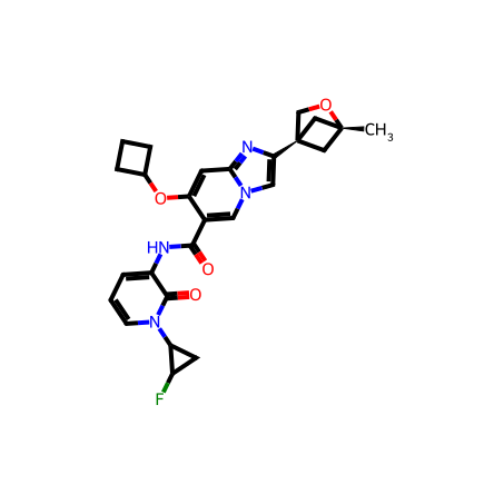 C[C@]12C[C@](c3cn4cc(C(=O)Nc5cccn(C6CC6F)c5=O)c(OC5CCC5)cc4n3)(CO1)C2